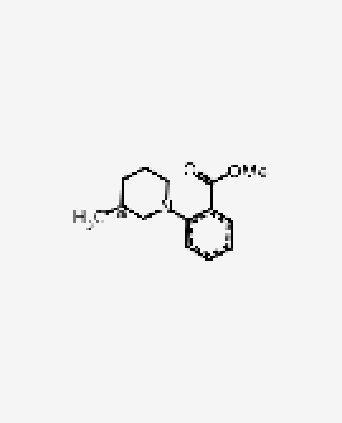 COC(=O)c1ccccc1N1CCC[C@H](C)C1